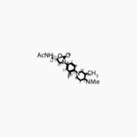 CNC1CCN(c2ccc(N3C[C@H](CNC(C)=O)OC3=O)cc2F)CC1C